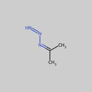 CC(C)=NN=N